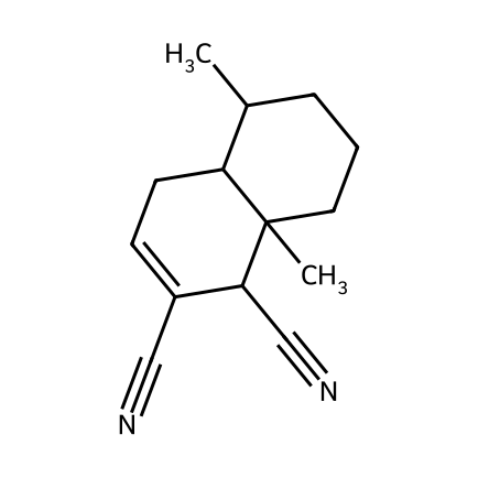 CC1CCCC2(C)C(C#N)C(C#N)=CCC12